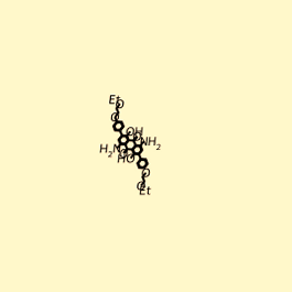 CCOCCOc1ccc(-c2cc(N)c3c(c2O)C(=O)c2c(N)cc(-c4ccc(OCCOCC)cc4)c(O)c2C3=O)cc1